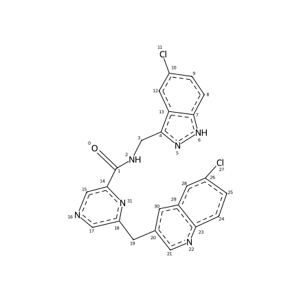 O=C(NCc1n[nH]c2ccc(Cl)cc12)c1cncc(Cc2cnc3ccc(Cl)cc3c2)n1